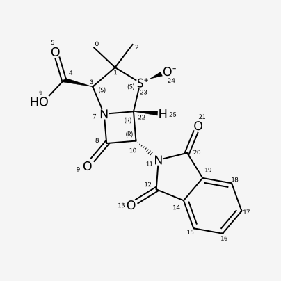 CC1(C)[C@H](C(=O)O)N2C(=O)[C@@H](N3C(=O)c4ccccc4C3=O)[C@H]2[S@+]1[O-]